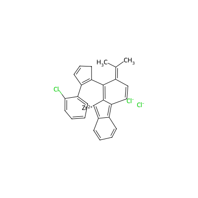 CC(C)=c1ccc2c(c1C1=C(c3ccccc3Cl)C=CC1)[C]([Zr+2])=c1ccccc1=2.[Cl-].[Cl-]